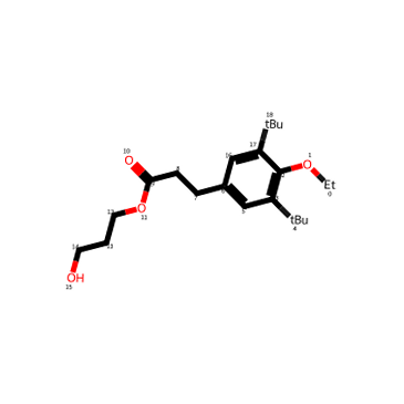 CCOc1c(C(C)(C)C)cc(CCC(=O)OCCCO)cc1C(C)(C)C